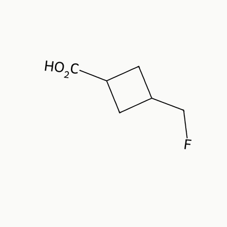 O=C(O)C1CC(CF)C1